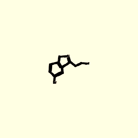 CCCC1=NCc2ccc(Br)cc21